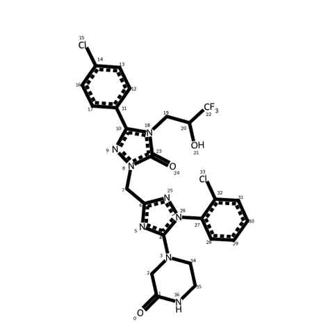 O=C1CN(c2nc(Cn3nc(-c4ccc(Cl)cc4)n(CC(O)C(F)(F)F)c3=O)nn2-c2ccccc2Cl)CCN1